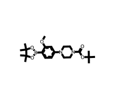 COc1cc(N2CCN(C(=O)OC(C)(C)C)CC2)ccc1B1OC(C)(C)C(C)(C)O1